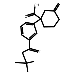 C=C1CCCC(C(=O)O)(c2cccc(C(=O)CC(C)(C)C)c2)C1